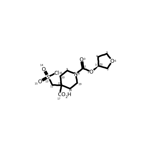 O=C(O[C@H]1CCOC1)N1CCC(CS(=O)(=O)Cl)(C(=O)O)CC1